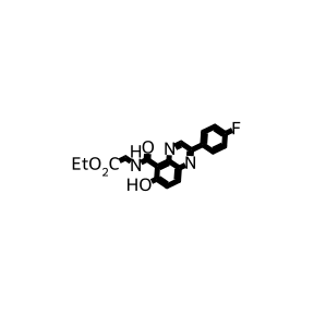 CCOC(=O)CNC(=O)c1c(O)ccc2nc(-c3ccc(F)cc3)cnc12